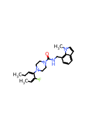 C/C=C(F)\C(=C/CC)N1CCN(C(=O)NCc2cccc3ccn(C)c23)CC1